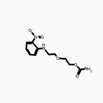 NC(=O)OCCOCCNc1ccccc1[N+](=O)[O-]